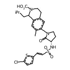 Cc1cc2c(cc1N1CC[C@H](NS(=O)(=O)C=Cc3ccc(Cl)s3)C1=O)CCN(C(=O)O)C2CC(C)C